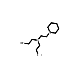 OCCN(CCO)CCN1CCCCC1